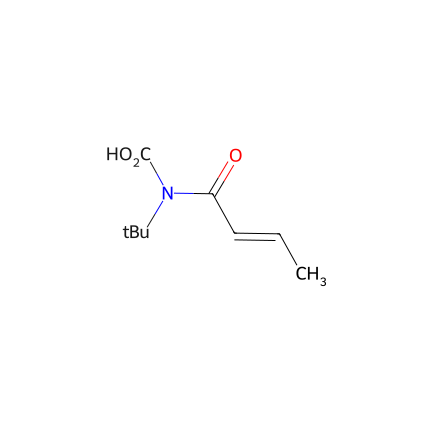 CC=CC(=O)N(C(=O)O)C(C)(C)C